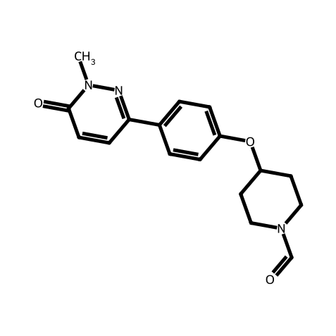 Cn1nc(-c2ccc(OC3CCN(C=O)CC3)cc2)ccc1=O